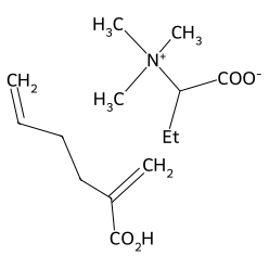 C=CCCC(=C)C(=O)O.CCC(C(=O)[O-])[N+](C)(C)C